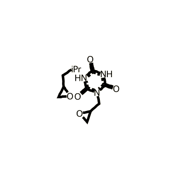 CC(C)CC1CO1.O=c1[nH]c(=O)n(CC2CO2)c(=O)[nH]1